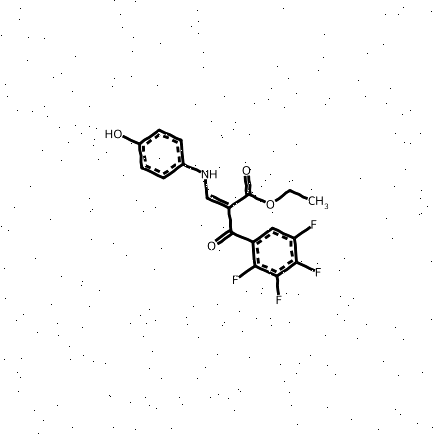 CCOC(=O)C(=CNc1ccc(O)cc1)C(=O)c1cc(F)c(F)c(F)c1F